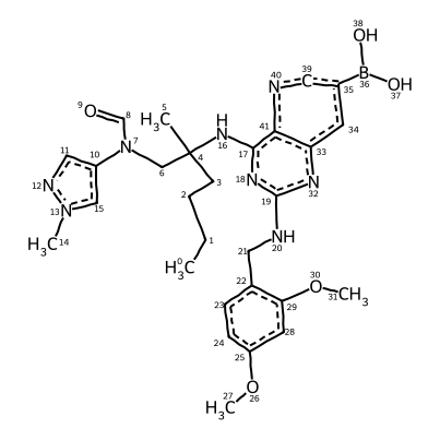 CCCCC(C)(CN(C=O)c1cnn(C)c1)Nc1nc(NCc2ccc(OC)cc2OC)nc2cc(B(O)O)cnc12